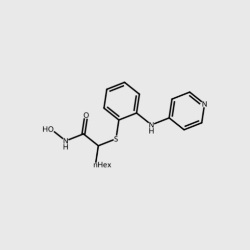 CCCCCCC(Sc1ccccc1Nc1ccncc1)C(=O)NO